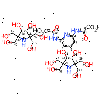 O=C(O)C(=O)Nc1cccc(NC(=O)C(=O)O)n1.OCC(CO)(CO)NC(CO)(CO)CO.OCC(CO)(CO)NC(CO)(CO)CO